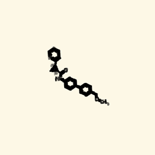 COCc1ccc(-c2ccc(NC(=O)[C@@H]3C[C@H]3c3ccccn3)cc2)cc1